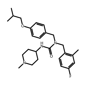 Cc1cc(F)ccc1CN(Cc1ccc(OCC(C)C)cc1)C(=O)NC1CCN(C)CC1